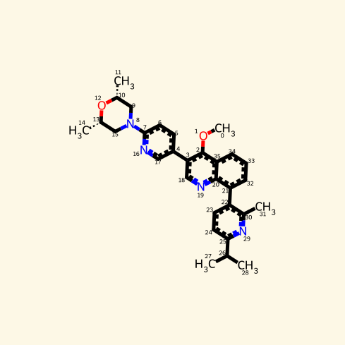 COc1c(-c2ccc(N3C[C@@H](C)O[C@@H](C)C3)nc2)cnc2c(-c3ccc(C(C)C)nc3C)cccc12